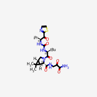 CC(C)[C@H](NC(=O)N[C@H](C(=O)N1C[C@H]2[C@@H]([C@H]1C(=O)NCC(=O)C(N)=O)C2(C)C)C(C)(C)C)C(=O)c1nccs1